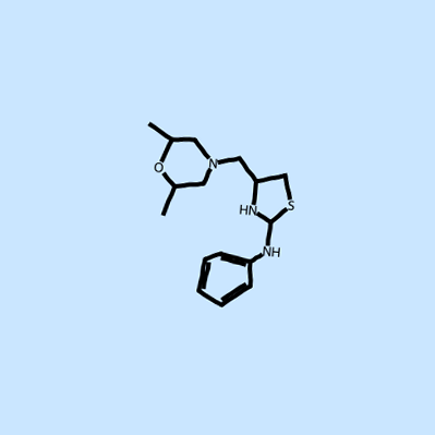 CC1CN(CC2CSC(Nc3ccccc3)N2)CC(C)O1